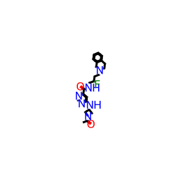 CC(=O)N1CC(Nc2cc(C(=O)NCC(F)CCN3CCc4ccccc4C3)ncn2)C1